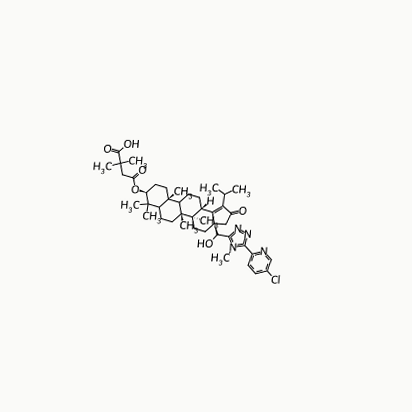 CC(C)C1=C2[C@H]3CCC4[C@@]5(C)CC[C@H](OC(=O)CC(C)(C)C(=O)O)C(C)(C)C5CC[C@@]4(C)[C@]3(C)CC[C@@]2(C(O)c2nnc(-c3ccc(Cl)cn3)n2C)CC1=O